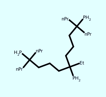 CCCC(P)(CCC)CCCC(P)(CC)CCCC(P)(CCC)CCC